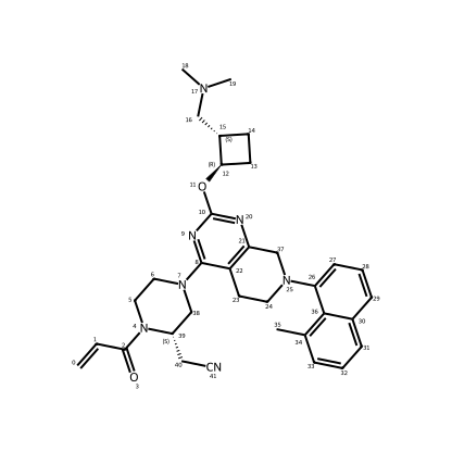 C=CC(=O)N1CCN(c2nc(O[C@@H]3CC[C@H]3CN(C)C)nc3c2CCN(c2cccc4cccc(C)c24)C3)C[C@@H]1CC#N